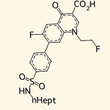 CCCCCCCNS(=O)(=O)c1ccc(-c2cc3c(cc2F)c(=O)c(C(=O)O)cn3CCF)cc1